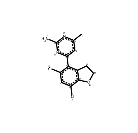 Cc1cc(-c2c(Cl)cc(Cl)c3c2CCO3)nc(N)n1